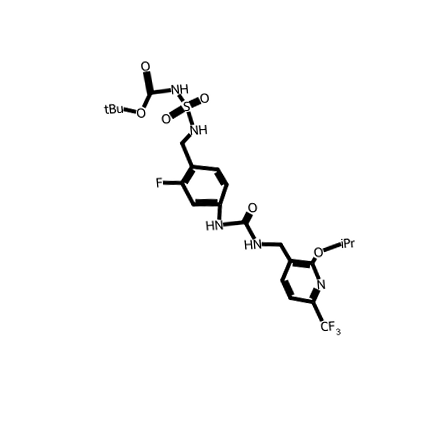 CC(C)Oc1nc(C(F)(F)F)ccc1CNC(=O)Nc1ccc(CNS(=O)(=O)NC(=O)OC(C)(C)C)c(F)c1